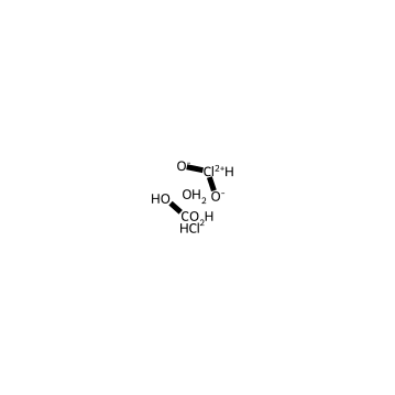 Cl.O.O=C(O)O.[O-][ClH+2][O-]